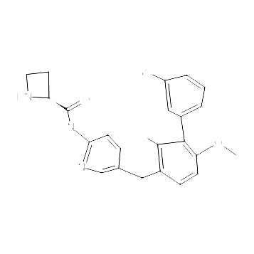 COc1ccc(Cc2ccc(NC(=O)[C@@H]3CCN3)nc2)c(F)c1-c1cccc(Cl)c1